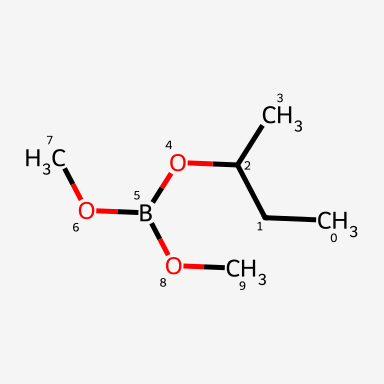 CCC(C)OB(OC)OC